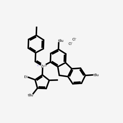 CCC1=[C](/[Zr+2](=[CH]/c2ccc(C)cc2)[c]2cc(C(C)(C)C)cc3c2Cc2ccc(C(C)(C)C)cc2-3)C(C)C=C1C(C)(C)C.[Cl-].[Cl-]